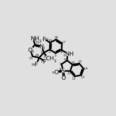 CC1(c2cc(NC3CS(=O)(=O)c4ccccc43)ccc2F)N=C(N)OCC1(F)F